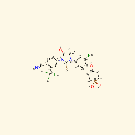 CC1(C)C(=O)N(c2ccc(C#N)c(C(F)(F)F)c2)C(=S)N1c1ccc(OC2CCS(=O)(=O)CC2)c(F)c1